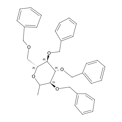 CC1O[C@H](COCc2ccccc2)[C@@H](OCc2ccccc2)[C@H](OCc2ccccc2)[C@H]1OCc1ccccc1